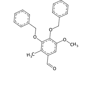 COc1cc(C=O)c(C)c(OCc2ccccc2)c1OCc1ccccc1